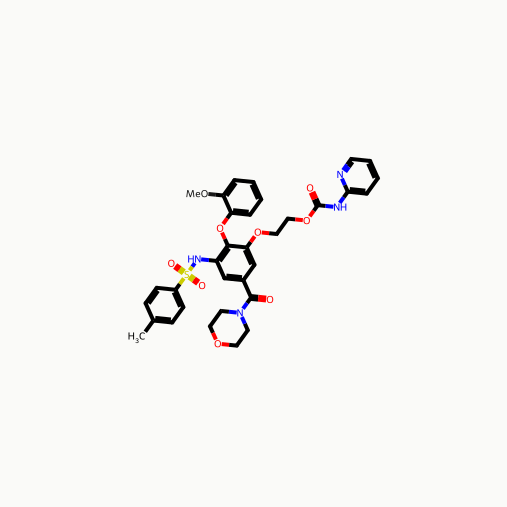 COc1ccccc1Oc1c(NS(=O)(=O)c2ccc(C)cc2)cc(C(=O)N2CCOCC2)cc1OCCOC(=O)Nc1ccccn1